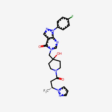 O=C(C[C@H](n1cccn1)C(F)(F)F)N1CCC(O)(Cn2cnc3c(cnn3-c3ccc(F)cc3)c2=O)CC1